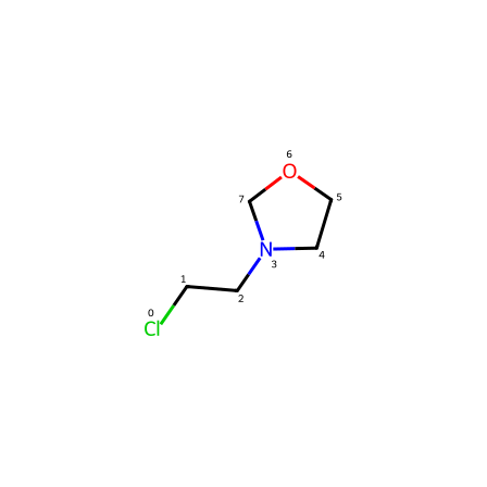 ClCCN1CCOC1